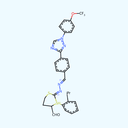 CC(C)c1ccccc1[SH]1/C(=N/N=C/c2ccc(-c3ncn(-c4ccc(OC(F)(F)F)cc4)n3)cc2)SCCC1C=O